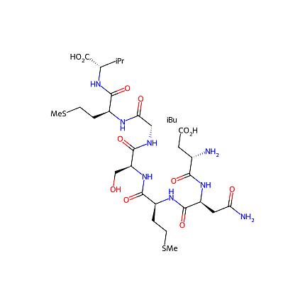 CC[C@H](C)[C@H](NC(=O)[C@H](CO)NC(=O)[C@H](CCSC)NC(=O)[C@H](CC(N)=O)NC(=O)[C@@H](N)CC(=O)O)C(=O)N[C@@H](CCSC)C(=O)N[C@H](C(=O)O)C(C)C